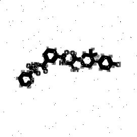 CC(C)[C@@H](NC(=O)c1cccc(C(=O)NS(=O)(=O)c2ccccn2)c1)C(=O)N1CC[C@H](c2ccc(Cl)cc2)C(C)(C)C1